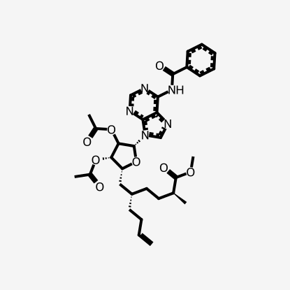 C=CCC[C@@H](CC[C@H](C)C(=O)OC)C[C@H]1O[C@@H](n2cnc3c(NC(=O)c4ccccc4)ncnc32)C(OC(C)=O)[C@H]1OC(C)=O